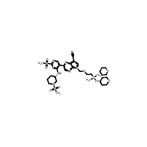 C1CCOCC1.C1CCOCC1.C[Si](C)(C)CCOCn1cc(C#N)c2nc(-c3cnc(S(C)(=O)=O)nc3N[C@H]3CCCN(S(C)(=O)=O)C3)cnc21